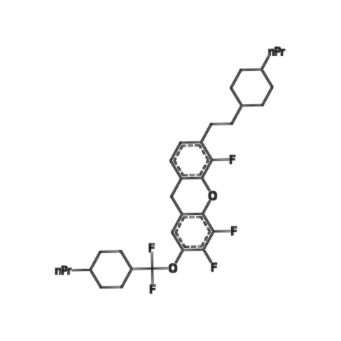 CCCC1CCC(CCc2ccc3c(c2F)Oc2c(cc(OC(F)(F)C4CCC(CCC)CC4)c(F)c2F)C3)CC1